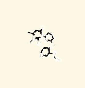 CC(=O)COc1cnccc1Oc1cccc(-n2c(=O)cc(C)n(C)c2=O)n1